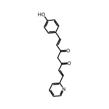 O=C(C=Cc1ccc(O)cc1)CC(=O)C=Cc1ccccn1